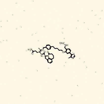 Cc1ncsc1-c1ccc(CNC=O)c(OCCCCCc2ccc(CO[C@H](C)[C@H](CCC(N)=O)NC(=O)[C@@H]3Cc4cccc5c4N3C(=O)CCC5)cc2)c1